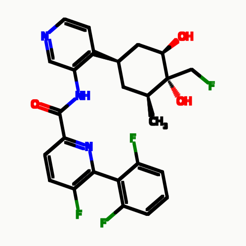 C[C@H]1C[C@@H](c2ccncc2NC(=O)c2ccc(F)c(-c3c(F)cccc3F)n2)C[C@@H](O)[C@@]1(O)CF